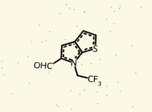 O=Cc1cc2ccsc2n1CC(F)(F)F